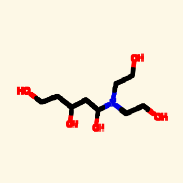 OCCC(O)CC(O)N(CCO)CCO